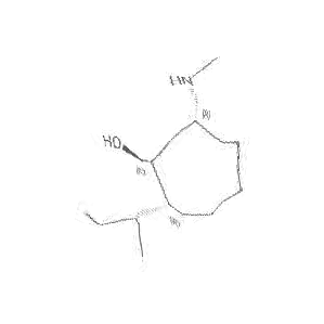 CN[C@@H]1CCC[C@H](C(C)C)[C@H]1O